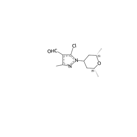 Cc1nn(C2C[C@@H](C)O[C@@H](C)C2)c(Cl)c1C=O